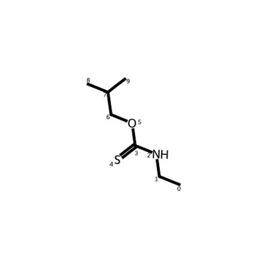 CCNC(=S)OCC(C)C